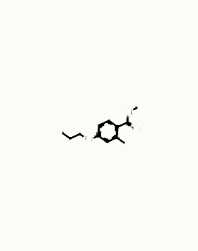 [CH2]CCOc1ccc(C(=O)OC)c(C)c1